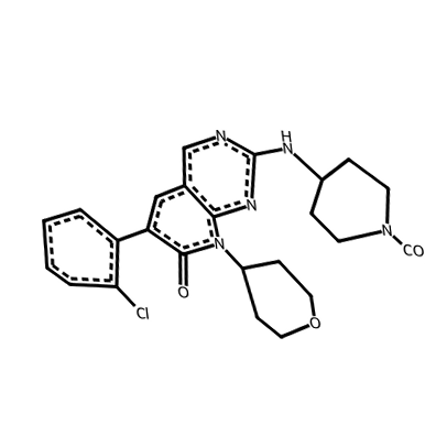 O=C(O)N1CCC(Nc2ncc3cc(-c4ccccc4Cl)c(=O)n(C4CCOCC4)c3n2)CC1